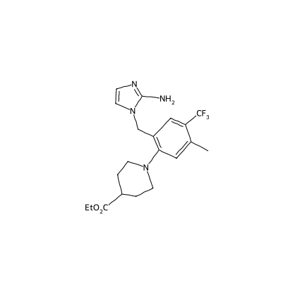 CCOC(=O)C1CCN(c2cc(C)c(C(F)(F)F)cc2Cn2ccnc2N)CC1